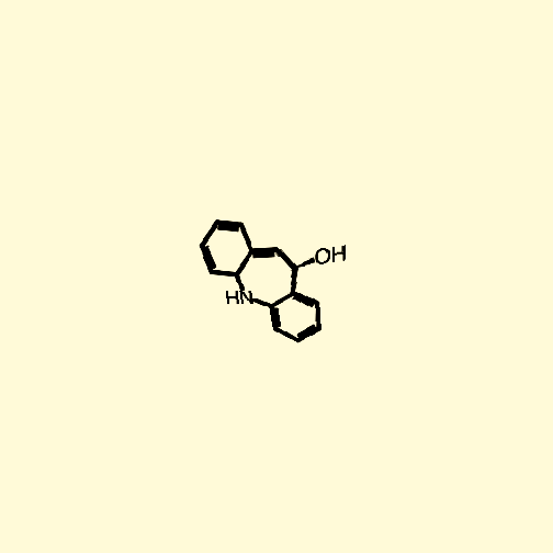 O[C@@H]1C=C2C=CC=CC2Nc2ccccc21